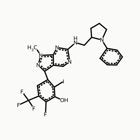 Cn1nc(-c2cc(C(F)(F)F)c(F)c(O)c2I)c2cnc(NCC3CCCN3c3ccccc3)nc21